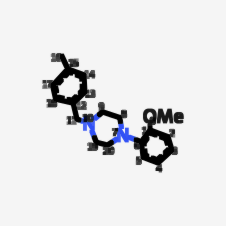 COc1ccccc1N1CCN(Cc2ccc(C)cc2)CC1